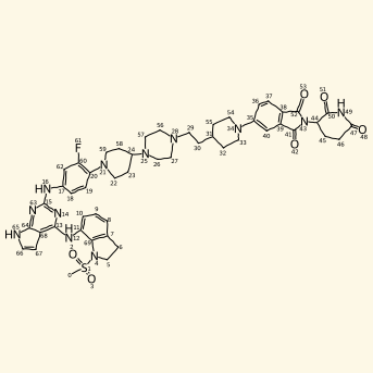 CS(=O)(=O)N1CCc2cccc(Nc3nc(Nc4ccc(N5CCC(N6CCN(CCC7CCN(c8ccc9c(c8)C(=O)N(C8CCC(=O)NC8=O)C9=O)CC7)CC6)CC5)c(F)c4)nc4[nH]ccc34)c21